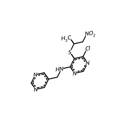 CC(C[N+](=O)[O-])Sc1c(Cl)ncnc1NCc1cncnc1